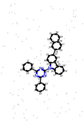 c1ccc(-c2nc(-c3ccccc3)nc(-n3c4ccccc4c4cc(-c5ccc6ccccc6c5)ccc43)n2)cc1